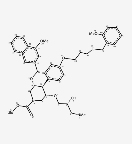 CNC[C@@H](O)CO[C@@H]1CN(C(=O)OC(C)(C)C)C[C@H](OCc2cc(OC)c3ccccc3c2)[C@H]1c1ccc(OCCCOCc2ccccc2OC)cc1